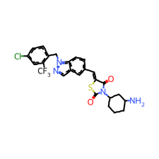 NC1CCCC(N2C(=O)SC(=Cc3ccc4c(cnn4Cc4ccc(Cl)cc4C(F)(F)F)c3)C2=O)C1